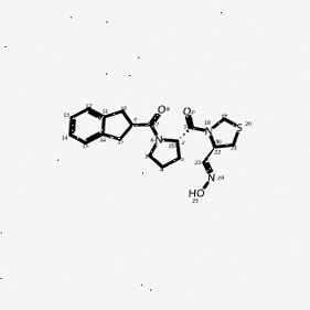 O=C([C@@H]1CCCN1C(=O)C1Cc2ccccc2C1)N1CSC[C@H]1C=NO